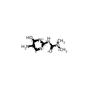 CN(C)C(=O)Nc1ncc(N)c(O)n1